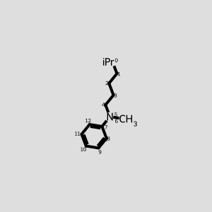 CC(C)CCCCN(C)c1[c]cccc1